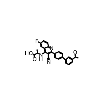 CC(=O)c1cccc(-c2ccc(-c3nc4ccc(F)cc4c(NC(C)C(=O)O)c3C#N)cc2)c1